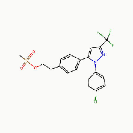 CS(=O)(=O)OCCc1ccc(-c2cc(C(F)(F)F)nn2-c2ccc(Cl)cc2)cc1